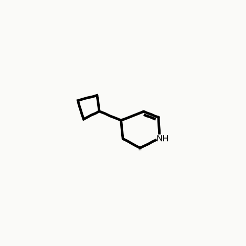 [C]1CC(C2CCC2)C=CN1